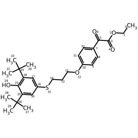 CCOC(=O)C(=O)c1ccc(OCCCSc2cc(C(C)(C)C)c(O)c(C(C)(C)C)c2)cc1